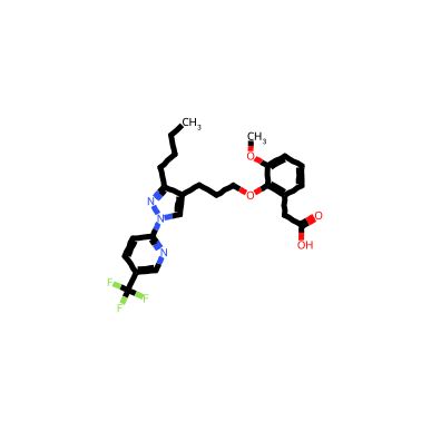 CCCCc1nn(-c2ccc(C(F)(F)F)cn2)cc1CCCOc1c(CC(=O)O)cccc1OC